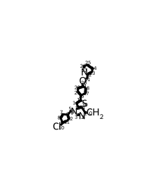 C=C1N=CN(Cc2ccc(Cl)cc2)c2cc(-c3ccc(OCc4ccccn4)cc3)sc21